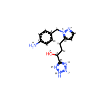 Nc1ccc(Cn2nccc2CCC(O)c2nn[nH]n2)cc1